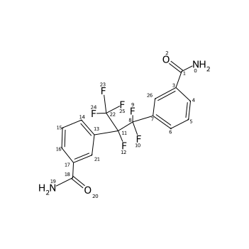 NC(=O)c1cccc(C(F)(F)C(F)(c2cccc(C(N)=O)c2)C(F)(F)F)c1